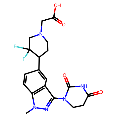 Cn1nc(N2CCC(=O)NC2=O)c2cc(C3CCN(CC(=O)O)CC3(F)F)ccc21